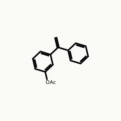 C=C(c1ccccc1)c1cccc(OC(C)=O)c1